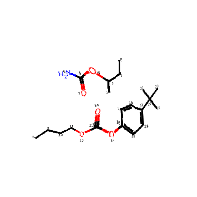 CCC(C)OC(N)=O.CCCCOC(=O)Oc1ccc(C(C)(C)C)cc1